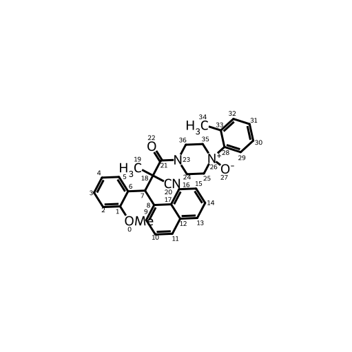 COc1ccccc1C(c1cccc2ccccc12)C(C)(C#N)C(=O)N1CC[N+]([O-])(c2ccccc2C)CC1